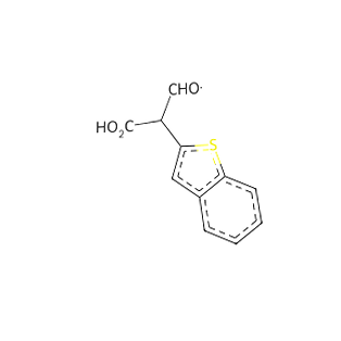 O=[C]C(C(=O)O)c1cc2ccccc2s1